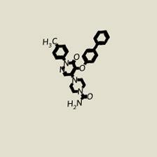 Cc1ccc(-n2ncc(N3CCN(C(N)=O)CC3)c(Oc3ccc(-c4ccccc4)cc3)c2=O)cc1